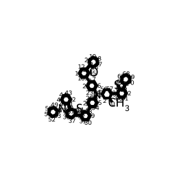 CC1CC(N(c2ccc(-c3cccc4c3oc3ccccc34)cc2)c2ccc(-c3cccc4c3sc3c4ccc4c3c3ccccc3n4-c3ccccc3)cc2)=CC=C1c1cccc2c1sc1ccccc12